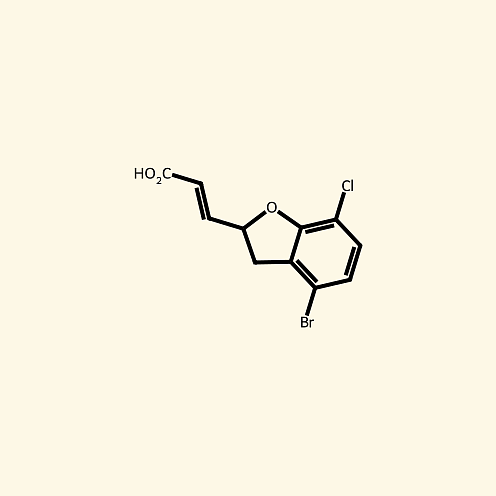 O=C(O)C=CC1Cc2c(Br)ccc(Cl)c2O1